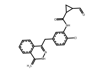 C=C1NN=C(Cc2ccc(Cl)c(NC(=O)C3CC3C=O)c2)c2ccccc21